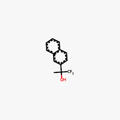 CC(O)(c1ccc2ccccc2c1)C(F)(F)F